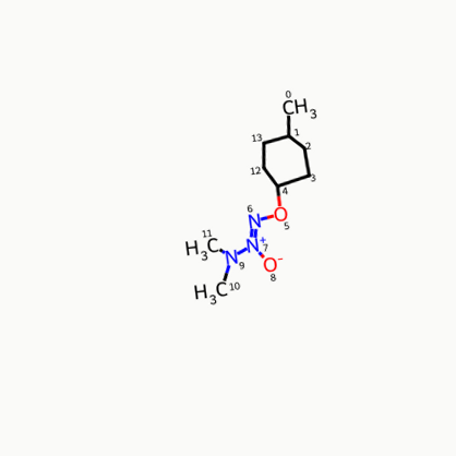 CC1CCC(O/N=[N+](\[O-])N(C)C)CC1